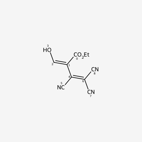 CCOC(=O)/C(=C\O)C(C#N)=C(C#N)C#N